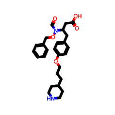 O=CN(OCc1ccccc1)C(CC(=O)O)Cc1ccc(OCCCC2CCNCC2)cc1